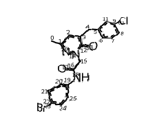 Cc1cc(Cc2cccc(Cl)c2)c(=O)n(CC(=O)Nc2ccc(Br)cc2)n1